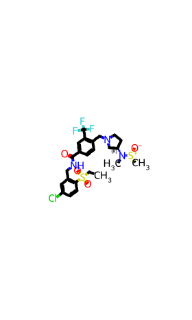 CCS(=O)(=O)c1ccc(Cl)cc1CNC(=O)c1ccc(CN2CC[C@@H](N(C)[S+](C)[O-])C2)c(C(F)(F)F)c1